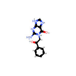 Nc1nc2[nH]cnc2c(=O)n1CC(=O)c1ccccc1